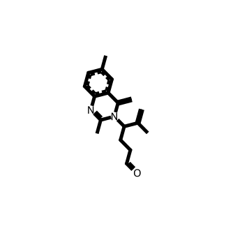 C=C(C)C(CCC=O)N1C(=C)c2cc(C)ccc2N=C1C